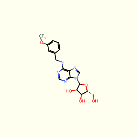 OC[C@H]1OC(n2cnc3c(NCc4cccc(OC(F)(F)F)c4)ncnc32)[C@H](O)[C@@H]1O